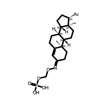 CC(=O)[C@H]1CC[C@H]2[C@@H]3CCC4=CC(=NOCOP(=O)(O)O)CC[C@]4(C)[C@H]3CC[C@]12C